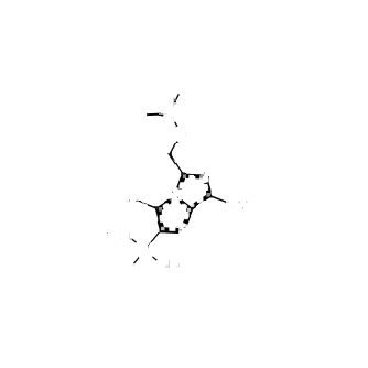 CCC[CH2][Sn]([CH2]CCC)([CH2]CCC)[c]1sc2c(SC)nc(CO[SiH](C)C)n2c1C(C)(C)C